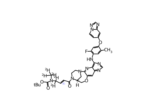 [2H]C([2H])([2H])N(C(=O)OC(C)(C)C)C([2H])([2H])/C=C/C(=O)N1CCN2C[C@H]1COc1cc3ncnc(Nc4cc(C)c(Oc5ccn6ncnc6c5)cc4F)c3nc12